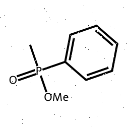 COP(C)(=O)c1ccccc1